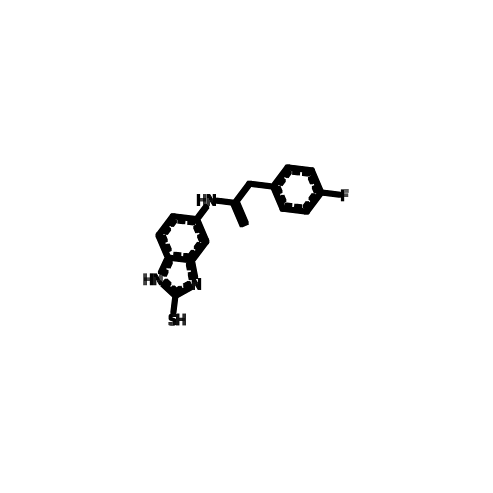 C=C(Cc1ccc(F)cc1)Nc1ccc2[nH]c(S)nc2c1